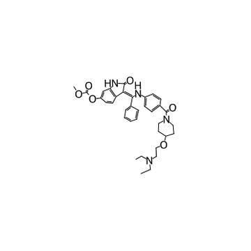 CCN(CC)CCOC1CCN(C(=O)c2ccc(N/C(=C3\C(=O)Nc4cc(OC(=O)OC)ccc43)c3ccccc3)cc2)CC1